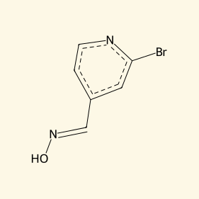 ON=Cc1ccnc(Br)c1